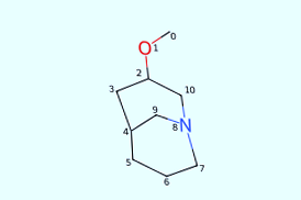 COC1CC2CCCN(C2)C1